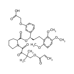 C=CC(=O)OCC(C)(C)C(=O)C(=O)N1CCCC[C@H]1C(=O)O[C@H](CCc1c(OC)ccc(OC)c1OC)c1cccc(OCC(=O)O)c1